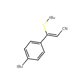 CC(C)(C)SC(=CC#N)c1ccc(C(C)(C)C)cc1